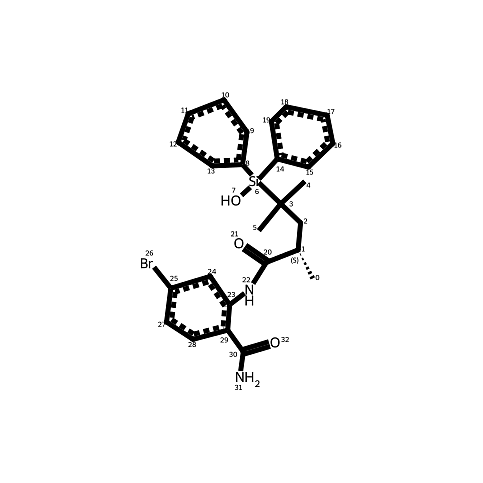 C[C@@H](CC(C)(C)[Si](O)(c1ccccc1)c1ccccc1)C(=O)Nc1cc(Br)ccc1C(N)=O